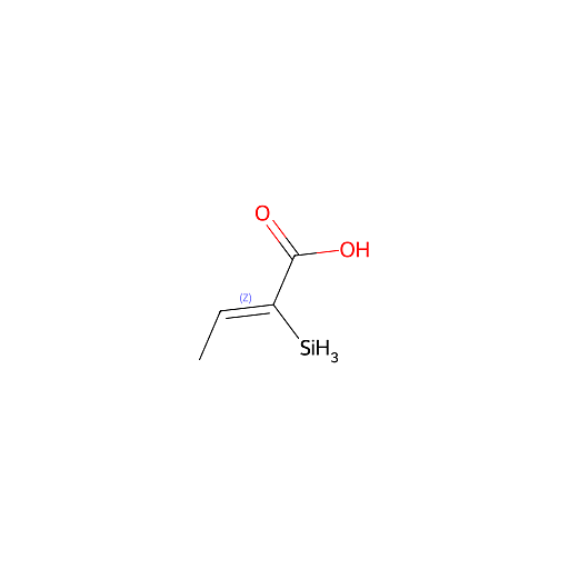 C/C=C(\[SiH3])C(=O)O